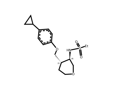 CCS(=O)(=O)N[C@H]1COCC[C@@H]1COc1ccc(C2CC2)cc1